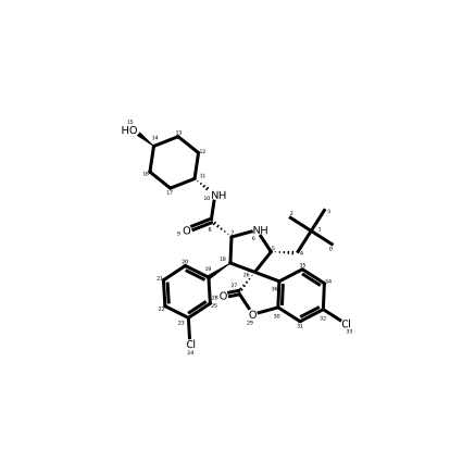 CC(C)(C)C[C@H]1N[C@@H](C(=O)N[C@H]2CC[C@H](O)CC2)[C@H](c2cccc(Cl)c2)[C@@]12C(=O)Oc1cc(Cl)ccc12